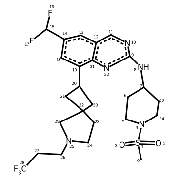 CS(=O)(=O)N1CCC(Nc2ncc3cc(C(F)F)cc(C4CC5(CCN(CCC(F)(F)F)C5)C4)c3n2)CC1